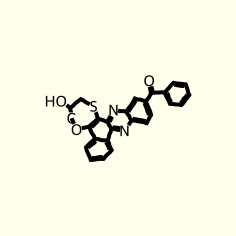 O=C(c1ccccc1)c1ccc2nc3c(nc2c1)c1c(c2ccccc23)OCC(O)CS1